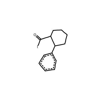 O=C(I)C1CCCCC1c1ccccc1